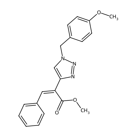 COC(=O)C(=Cc1ccccc1)c1cn(Cc2ccc(OC)cc2)nn1